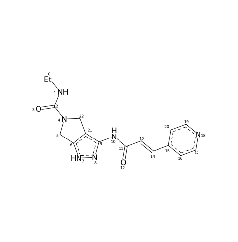 CCNC(=O)N1Cc2[nH]nc(NC(=O)C=Cc3ccncc3)c2C1